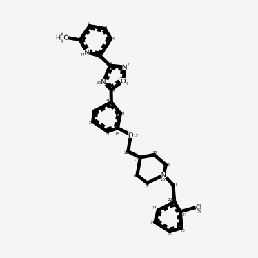 Cc1cccc(-c2noc(-c3cccc(OCC4CCN(Cc5ccccc5Cl)CC4)c3)n2)n1